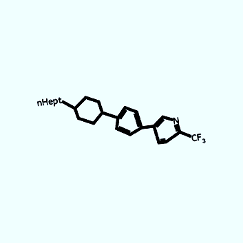 CCCCCCCC1CCC(c2ccc(-c3ccc(C(F)(F)F)nc3)cc2)CC1